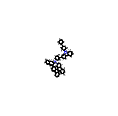 c1ccc(-c2ccc(-n3c4ccccc4c4ccc(-c5cccc(N(c6ccc7c(c6)C6(c8ccccc8-c8ccccc86)c6ccccc6-7)c6ccc7ccccc7c6)c5)cc43)cc2)cc1